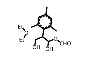 CCOCC.Cc1cc(C)c(C(CO)C(O)OC=O)c(C)c1